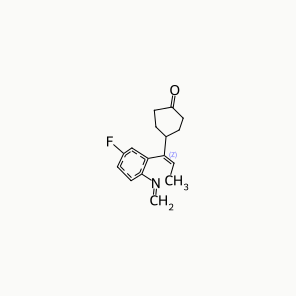 C=Nc1ccc(F)cc1/C(=C\C)C1CCC(=O)CC1